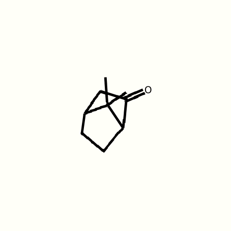 CC1(C)C2CCC1C(=O)C2